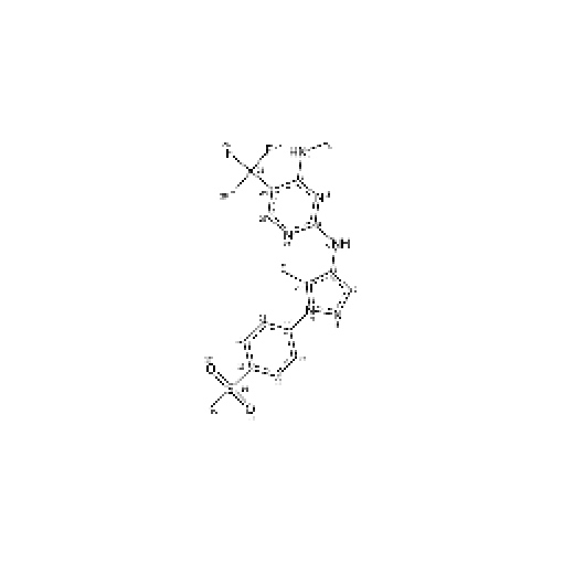 CNc1nc(Nc2cnn(-c3ccc(S(C)(=O)=O)cc3)c2C)ncc1C(F)(F)F